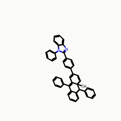 CC12C=CC(c3ccc(-c4nc5ccccc5n4-c4ccccc4)cc3)=CC1=C(c1ccccc1)c1ccccc1C2c1ccccc1